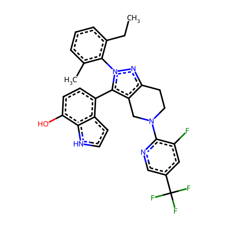 CCc1cccc(C)c1-n1nc2c(c1-c1ccc(O)c3[nH]ccc13)CN(c1ncc(C(F)(F)F)cc1F)CC2